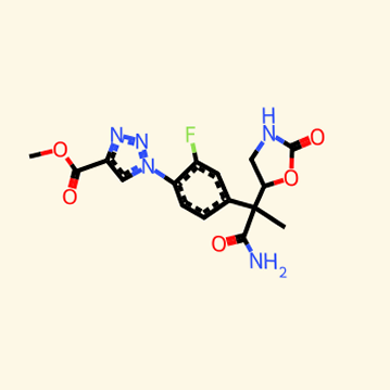 COC(=O)c1cn(-c2ccc(C(C)(C(N)=O)C3CNC(=O)O3)cc2F)nn1